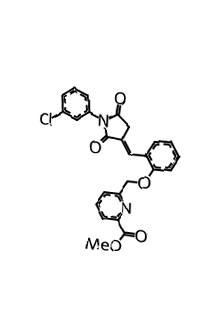 COC(=O)c1cccc(COc2ccccc2/C=C2\CC(=O)N(c3cccc(Cl)c3)C2=O)n1